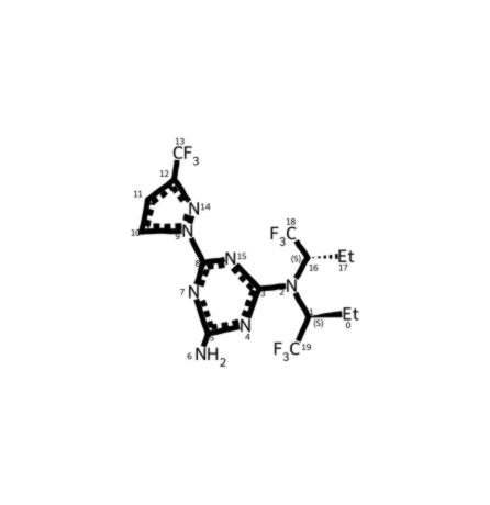 CC[C@H](N(c1nc(N)nc(-n2ccc(C(F)(F)F)n2)n1)[C@@H](CC)C(F)(F)F)C(F)(F)F